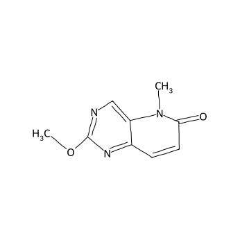 COc1ncc2c(ccc(=O)n2C)n1